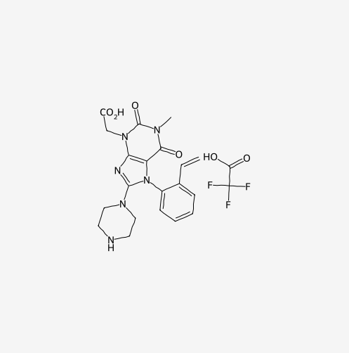 C=Cc1ccccc1-n1c(N2CCNCC2)nc2c1c(=O)n(C)c(=O)n2CC(=O)O.O=C(O)C(F)(F)F